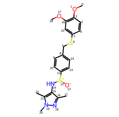 COc1ccc(SCc2ccc([S+]([O-])Nc3c(C)nn(C)c3C)cc2)cc1OC